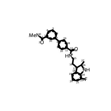 CNC(=O)c1cccc(-c2ccc(C(=O)NCCC3c4cccc(F)c4NC3C)cc2)c1